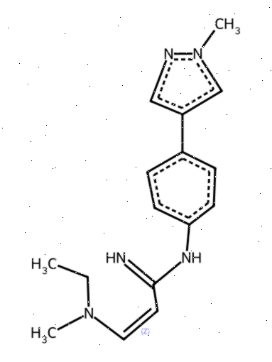 CCN(C)/C=C\C(=N)Nc1ccc(-c2cnn(C)c2)cc1